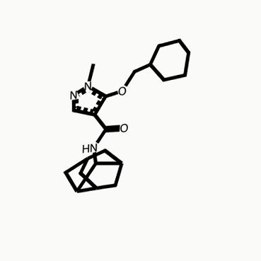 Cn1ncc(C(=O)NC2C3CC4CC(C3)C2C4)c1OCC1CCCCC1